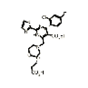 CCOC(=O)C1=C(CN2CCO[C@@H](CCC(=O)O)C2)NC(c2nccs2)=N[C@@H]1c1ccc(F)cc1Cl